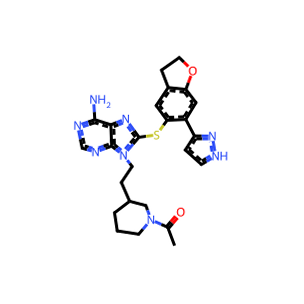 CC(=O)N1CCCC(CCn2c(Sc3cc4c(cc3-c3cc[nH]n3)OCC4)nc3c(N)ncnc32)C1